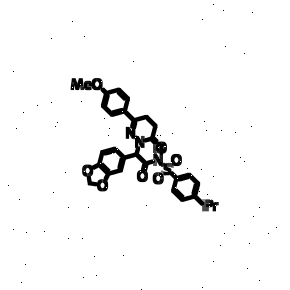 COc1ccc(C2=NN(C(C(=O)NS(=O)(=O)c3ccc(C(C)C)cc3)c3ccc4c(c3)OCO4)C(=O)CC2)cc1